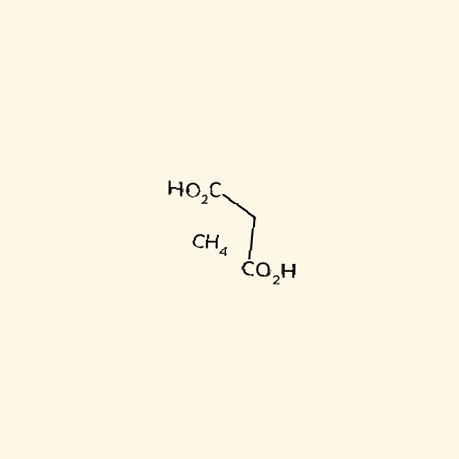 C.O=C(O)CC(=O)O